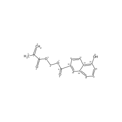 C=C(C)C(=O)OCOC(=O)c1ccc2c(O)cccc2c1